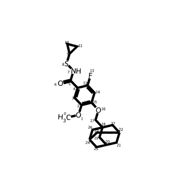 COc1cc(C(=O)NSC2CC2)c(F)cc1OCC12CC3CC(CC(C3)C1)C2